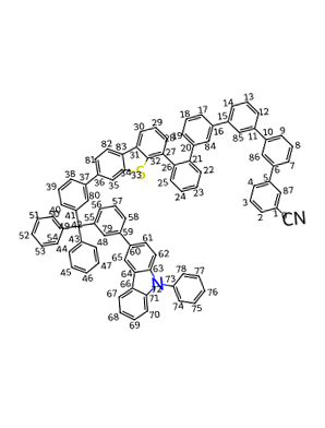 N#Cc1cccc(-c2cccc(-c3cccc(-c4cccc(-c5ccccc5-c5cccc6c5sc5cc(-c7cccc(C(c8ccccc8)(c8ccccc8)c8cccc(-c9ccc%10c(c9)c9ccccc9n%10-c9ccccc9)c8)c7)ccc56)c4)c3)c2)c1